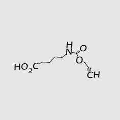 C#CCOC(=O)NCCCCC(=O)O